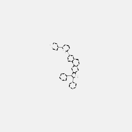 c1ccc(-c2[nH]c3cc4ccc5cc(-c6cccc(-c7ccncc7)n6)ccc5c4cc3c2-c2ccccc2)cc1